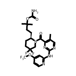 Cc1cnc(Nc2cc(OC(F)(F)F)ccn2)nc1C(=O)N1CC(F)(F)CC[C@H]1CCC(C)(C)OC(N)=O